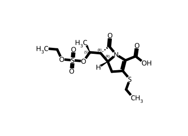 CCOS(=O)(=O)O[C@@H](C)[C@@H]1C(=O)N2C(C(=O)O)=C(SCC)C[C@H]12